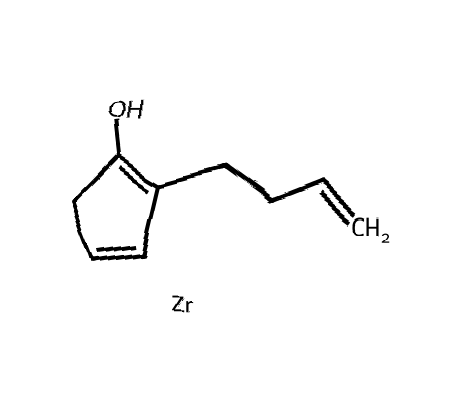 C=CCCC1=C(O)CC=C1.[Zr]